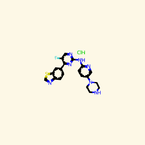 Cl.Fc1cnc(Nc2ccc(N3CCNCC3)cn2)nc1-c1ccc2ncsc2c1